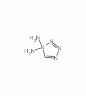 N[N+]1(N)C=NN=N1